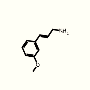 COc1cccc(C=CCN)c1